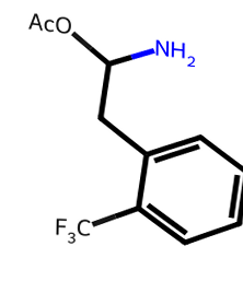 CC(=O)OC(N)Cc1ccccc1C(F)(F)F